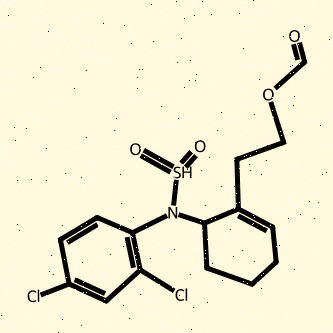 O=COCCC1=CCCCC1N(c1ccc(Cl)cc1Cl)[SH](=O)=O